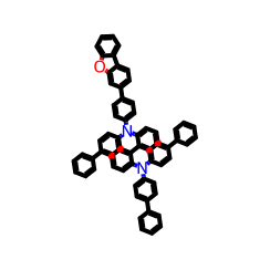 c1ccc(-c2ccc(N(c3ccc(-c4ccccc4)cc3)c3ccccc3-c3ccccc3N(c3ccc(-c4ccccc4)cc3)c3ccc(-c4ccc5c(c4)oc4ccccc45)cc3)cc2)cc1